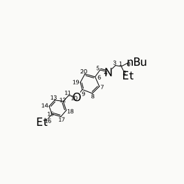 CCCCC(CC)C/N=C/c1ccc(OCc2ccc(CC)cc2)cc1